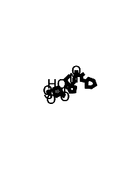 CC(CC1CCCCC1)C(=O)N1CCC(O)(CN2CCN(S(C)(=O)=O)CC2=O)C2(CCCC2)C1